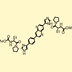 CC[C@H](NC(=O)OC)C(=O)N1CCC[C@H]1c1nc(-c2ccc(-c3cnc4cc(-c5cnc([C@@H]6CCCN6C(=O)[C@H](CC)NC(=O)OC)[nH]5)cnc4c3)cc2)c[nH]1